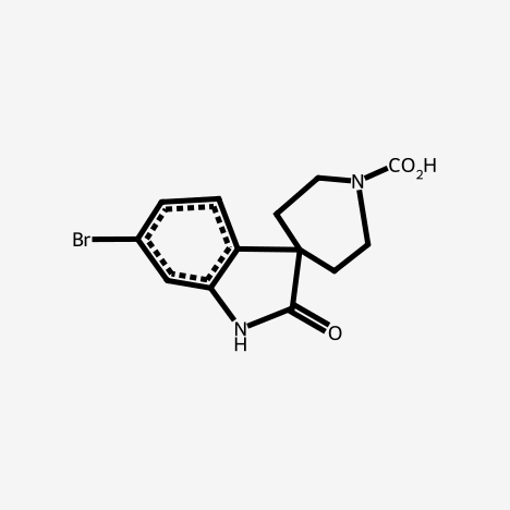 O=C(O)N1CCC2(CC1)C(=O)Nc1cc(Br)ccc12